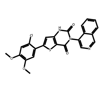 COc1cc(Cl)c(-c2cc3[nH]c(=O)n(-c4cncc5ccccc45)c(=O)c3s2)cc1OC